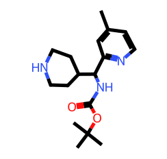 Cc1ccnc(C(NC(=O)OC(C)(C)C)C2CCNCC2)c1